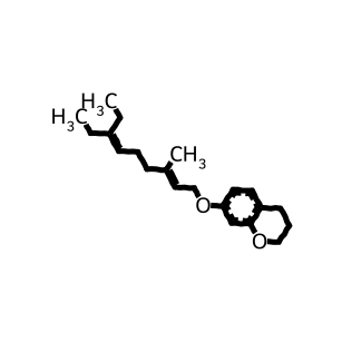 CCC(=CCC/C(C)=C/COc1ccc2c(c1)OCCC2)CC